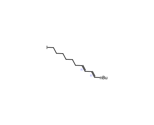 CCCC/C=C/C=C/CCCCCCI